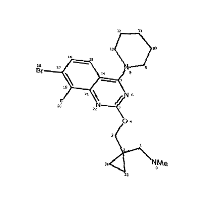 CNCC1(COc2nc(N3CCCCC3)c3ccc(Br)c(F)c3n2)CC1